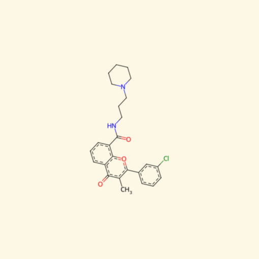 Cc1c(-c2cccc(Cl)c2)oc2c(C(=O)NCCCN3CCCCC3)cccc2c1=O